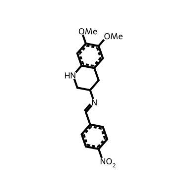 COc1cc2c(cc1OC)NCC(N=Cc1ccc([N+](=O)[O-])cc1)C2